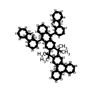 CC1(C)c2cc3c(-c4cccc5c4sc4ccccc45)c4ccccc4c(-c4cccc5c4sc4ccccc45)c3cc2C(C)(C)c2cc3c4ccccc4c4ccccc4c3cc21